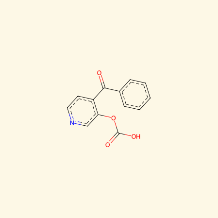 O=C(O)Oc1cnccc1C(=O)c1ccccc1